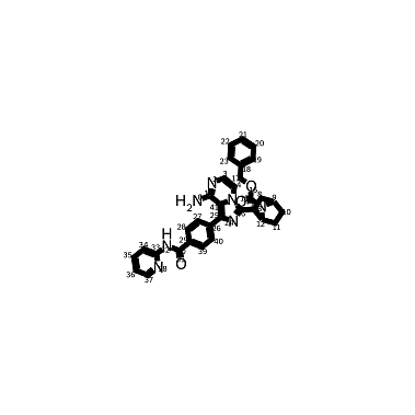 Nc1nccn2c(C3CC4CCC3N4C(=O)OCc3ccccc3)nc(-c3ccc(C(=O)Nc4ccccn4)cc3)c12